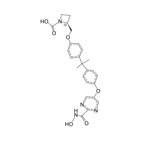 CC(C)(c1ccc(OC[C@@H]2CCN2C(=O)O)cc1)c1ccc(Oc2cnc(C(=O)NO)nc2)cc1